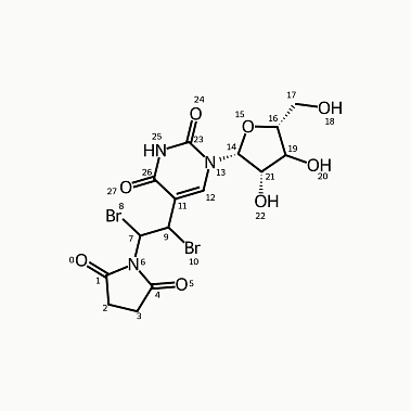 O=C1CCC(=O)N1C(Br)C(Br)c1cn([C@@H]2O[C@H](CO)C(O)[C@@H]2O)c(=O)[nH]c1=O